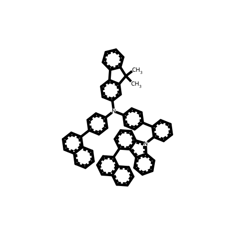 CC1(C)c2ccccc2-c2ccc(N(c3ccc(-c4ccccc4-n4c5ccccc5c5c(-c6cccc7ccccc67)cccc54)cc3)c3ccc(-c4cccc5ccccc45)cc3)cc21